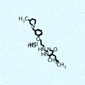 CC=CCc1c(C)[nH]c(NCCCOc2cccc(CN3CCCC(C)C3)c2)nc1=O.Cl.Cl